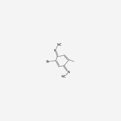 [C-]#[N+]/N=C1C=C(C)/C(=N/C#N)C=C\1Br